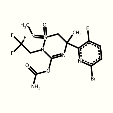 CN=S1(=O)CC(C)(c2nc(Br)ccc2F)N=C(OC(N)=O)N1CC(F)(F)F